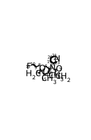 C=CC(=O)N(/C(COC/C=C/F)=C(\C)C(C)N=C)c1cccnc1